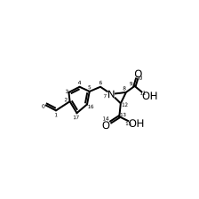 C=Cc1ccc(CN2C(C(=O)O)C2C(=O)O)cc1